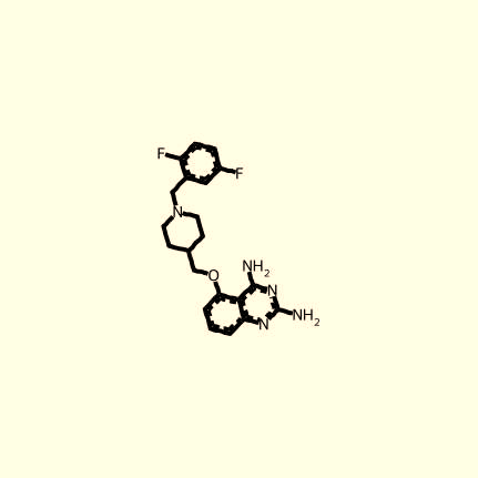 Nc1nc(N)c2c(OCC3CCN(Cc4cc(F)ccc4F)CC3)cccc2n1